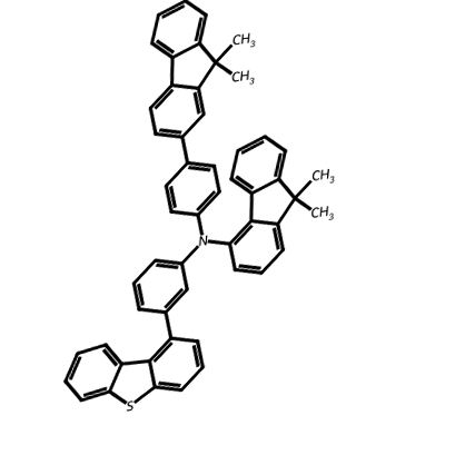 CC1(C)c2ccccc2-c2ccc(-c3ccc(N(c4cccc(-c5cccc6sc7ccccc7c56)c4)c4cccc5c4-c4ccccc4C5(C)C)cc3)cc21